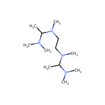 CC(N(C)C)N(C)CCN(C)C(C)N(C)C